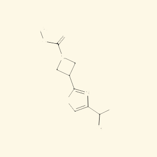 CC(C)(C)OC(=O)N1CC(c2nc(C(O)O)co2)C1